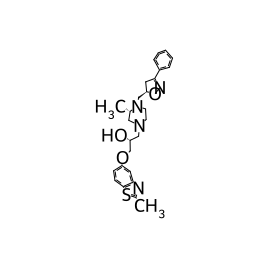 Cc1nc2cc(OC[C@H](O)CN3CCN(C[C@H]4CC(c5ccccc5)=NO4)[C@@H](C)C3)ccc2s1